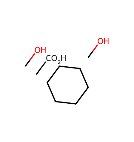 C1CCCCC1.CC(=O)O.CO.CO